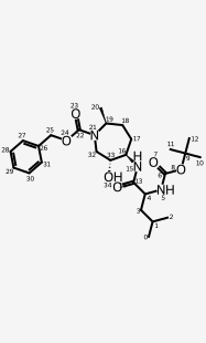 CC(C)CC(NC(=O)OC(C)(C)C)C(=O)N[C@@H]1CC[C@H](C)N(C(=O)OCc2ccccc2)C[C@H]1O